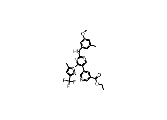 CCOC(=O)c1cncc(-c2cnc(Nc3cc(C)cc(OC)c3)nc2-n2nc(C(F)(F)F)cc2C)c1